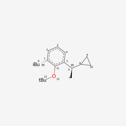 CC[C@@H](C)c1cccc([C@H](C)C2CC2)c1OC(C)(C)C